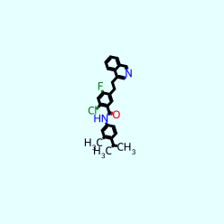 Cc1cc(NC(=O)c2cc(CCc3cncc4ccccc34)c(F)cc2Cl)ccc1C(C)C